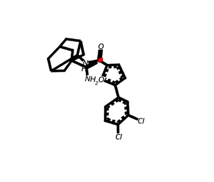 NC(=O)C12CC3CC(C1)C(NC(=O)c1ccc(-c4ccc(Cl)c(Cl)c4)o1)C(C3)C2